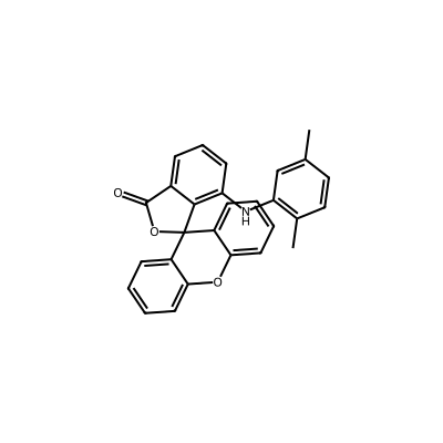 Cc1ccc(C)c(Nc2cccc3c2C2(OC3=O)c3ccccc3Oc3ccccc32)c1